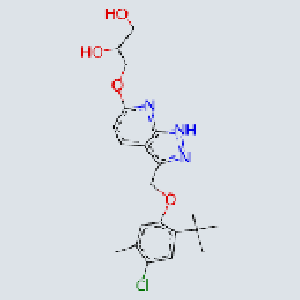 Cc1cc(OCc2n[nH]c3nc(OCC(O)CO)ccc23)c(C(C)(C)C)cc1Cl